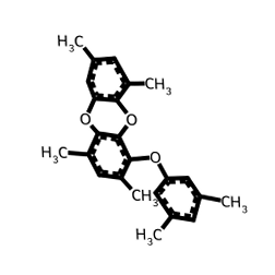 Cc1cc(C)cc(Oc2c(C)cc(C)c3c2Oc2c(C)cc(C)cc2O3)c1